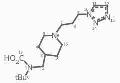 CC(C)(C)N(CC1CCN(CCCn2ccnn2)CC1)C(=O)O